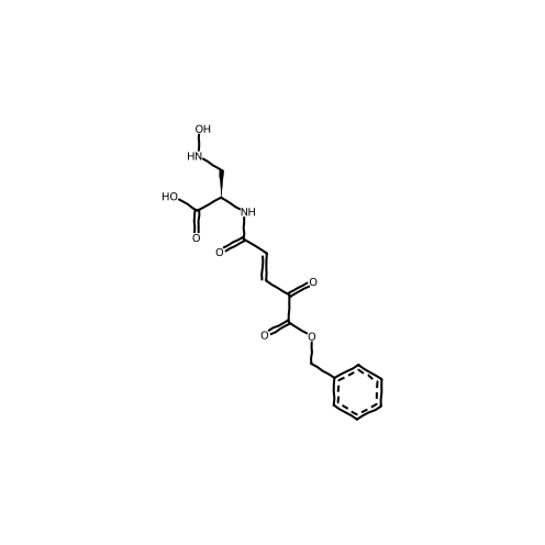 O=C(/C=C/C(=O)C(=O)OCc1ccccc1)N[C@H](CNO)C(=O)O